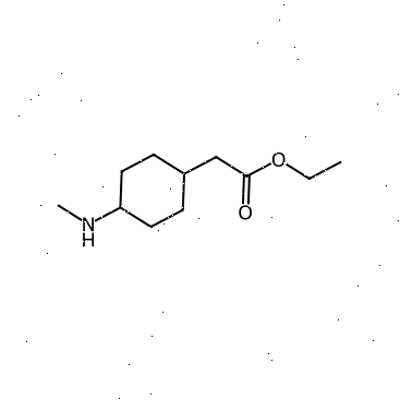 CCOC(=O)CC1CCC(NC)CC1